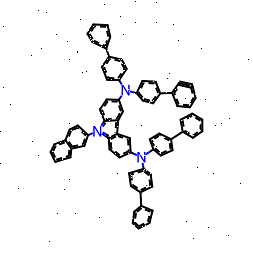 c1cccc(-c2ccc(N(c3ccc(-c4ccccc4)cc3)c3ccc4c(c3)c3cc(N(c5ccc(-c6ccccc6)cc5)c5ccc(-c6ccccc6)cc5)ccc3n4-c3ccc4ccccc4c3)cc2)c#1